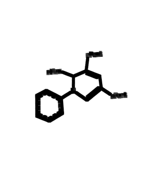 CCCCCCC1C(CCCCC)=CC(CCCCC)=CN1c1ccccc1